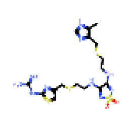 Cc1[nH]cnc1CSCCNC1=NS(=O)(=O)N=C1NCCSCc1csc(NC(=N)N)n1